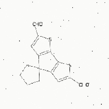 O=Cc1cc2c(s1)-c1sc(C=O)cc1C21CCCC1